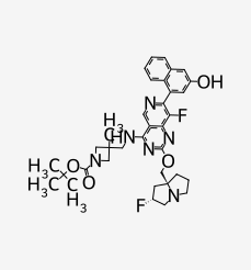 CC1(CNc2nc(OC[C@@]34CCCN3C[C@H](F)C4)nc3c(F)c(-c4cc(O)cc5ccccc45)ncc23)CN(C(=O)OC(C)(C)C)C1